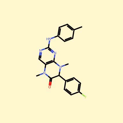 Cc1ccc(Nc2ncc3c(n2)N(C)C(c2ccc(F)cc2)C(=O)N3C)cc1